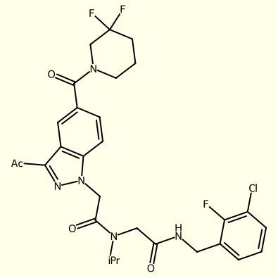 CC(=O)c1nn(CC(=O)N(CC(=O)NCc2cccc(Cl)c2F)C(C)C)c2ccc(C(=O)N3CCCC(F)(F)C3)cc12